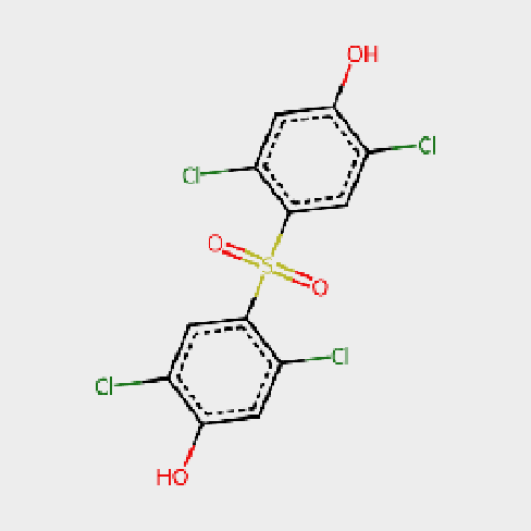 O=S(=O)(c1cc(Cl)c(O)cc1Cl)c1cc(Cl)c(O)cc1Cl